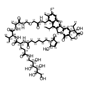 CCc1c2c(nc3cc(F)c(C)c(CNC(=O)COCNC(=O)[C@H](C)NC(=O)[C@@H](NC(=O)[C@H](CCC(=O)NC[C@H](O)[C@@H](O)[C@H](O)[C@H](O)CO)NC(=O)CCCCCN4C(=O)C=CC4O)C(C)C)c13)-c1cc3c(c(=O)n1C2)COC(=O)[C@]3(O)CC